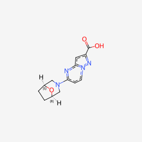 O=C(O)c1cc2nc(N3C[C@H]4CC[C@@H](C3)O4)ccn2n1